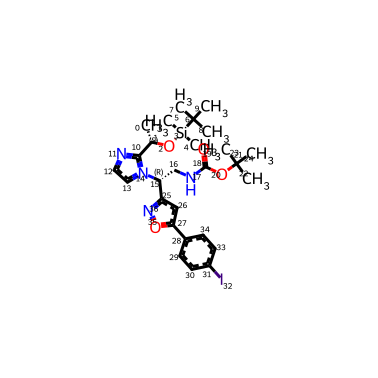 C[C@H](O[Si](C)(C)C(C)(C)C)c1nccn1[C@H](CNC(=O)OC(C)(C)C)c1cc(-c2ccc(I)cc2)on1